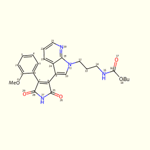 COc1ccccc1C1=C(c2cn(CCCNC(=O)OCC(C)C)c3ncccc23)C(=O)NC1=O